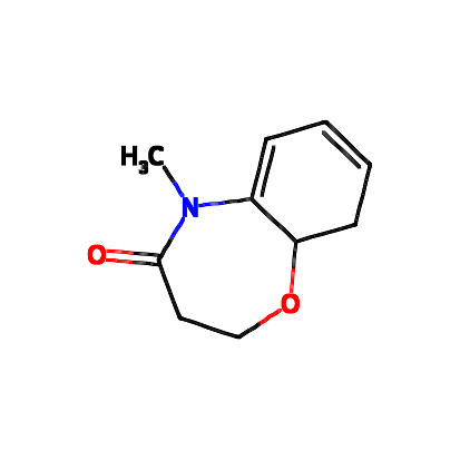 CN1C(=O)CCOC2CC=CC=C21